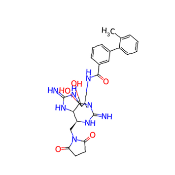 Cc1ccccc1-c1cccc(C(=O)NC2CN3C(=N)N[C@@H](CN4C(=O)CCC4=O)C4NC(=N)NC43C2(O)O)c1